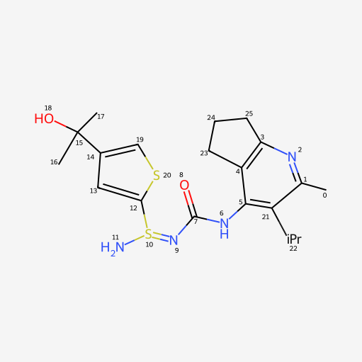 Cc1nc2c(c(NC(=O)/N=S(/N)c3cc(C(C)(C)O)cs3)c1C(C)C)CCC2